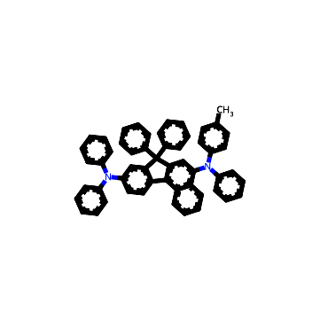 Cc1ccc(N(c2ccccc2)c2cc3c(c4ccccc24)-c2ccc(N(c4ccccc4)c4ccccc4)cc2C3(c2ccccc2)c2ccccc2)cc1